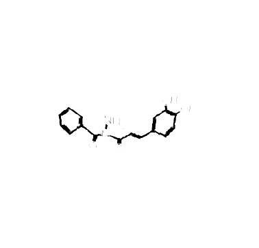 NN(C(=O)/C=C/c1ccc(O)c(O)c1)C(=O)c1ccccc1